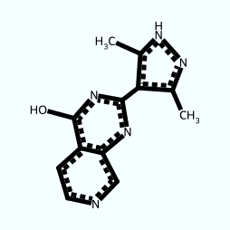 Cc1n[nH]c(C)c1-c1nc(O)c2ccncc2n1